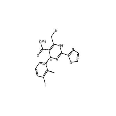 COC(=O)C1=C(CBr)NC(c2nccs2)=N[C@H]1c1cccc(F)c1C